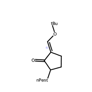 CCCCCC1CC/C(=C\OC(C)(C)C)C1=O